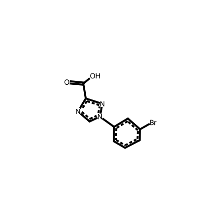 O=C(O)c1ncn(-c2cccc(Br)c2)n1